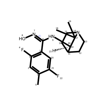 Cc1cc(F)c(/C(=N\O)N[C@@H]2C3CCN(CC3)C2(C)C)cc1F